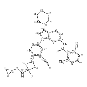 C[C@@H](Oc1ccc2c(c1)c(-c1cnc(N3CC(C)(NCC4CC4)C3)c(C#N)c1)nn2C1CCCCO1)c1c(Cl)cncc1Cl